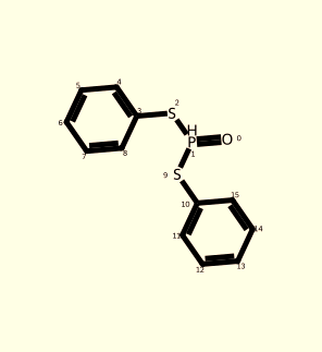 O=[PH](Sc1ccccc1)Sc1ccccc1